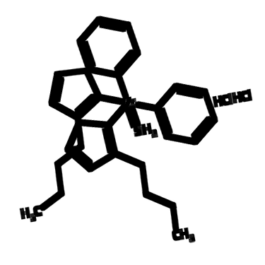 CCCCC1=[C]([Zr](=[SiH2])([C]2=C(CCCC)C=CC2)([c]2ccccc2)[c]2ccccc2)CC=C1.Cl.Cl